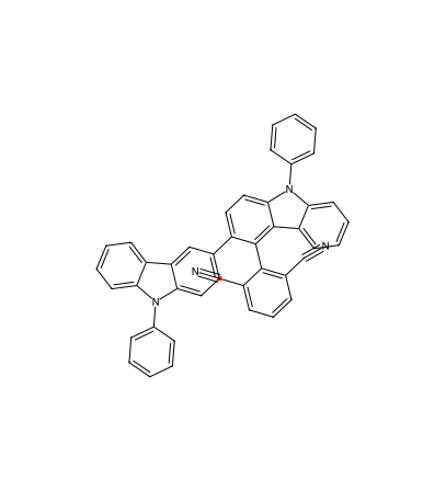 N#Cc1cccc(C#N)c1-c1c(-c2ccc3c(c2)c2ccccc2n3-c2ccccc2)ccc2c1c1ccccc1n2-c1ccccc1